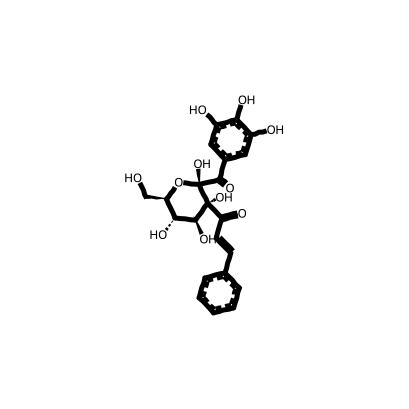 O=C(C=Cc1ccccc1)[C@@]1(O)[C@@H](O)[C@H](O)[C@@H](CO)O[C@]1(O)C(=O)c1cc(O)c(O)c(O)c1